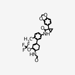 Cc1ccc(NC(=O)C2(c3ccc4c(c3)OCO4)CC2)cc1C1=CC(OC(F)(F)F)=C(NC=O)CC1